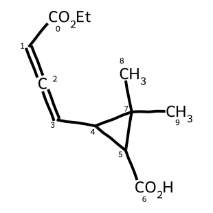 CCOC(=O)C=C=CC1C(C(=O)O)C1(C)C